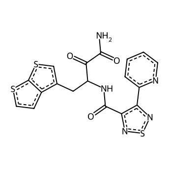 NC(=O)C(=O)C(Cc1csc2sccc12)NC(=O)c1nsnc1-c1ccccn1